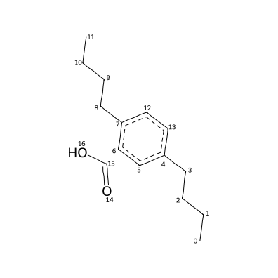 CCCCc1ccc(CCCC)cc1.O=CO